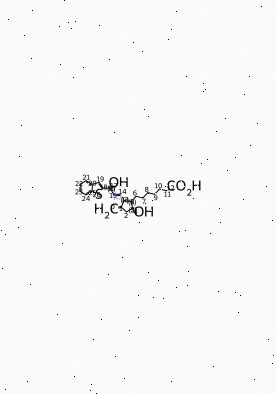 C=C1C[C@H](O)[C@H](CCCCCCC(=O)O)[C@H]1/C=C/[C@@H](O)c1cc2ccccc2s1